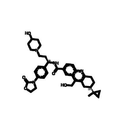 CC1([C@H]2CCc3nc4ccc(C(=O)N[C@H](CCN5CCC(O)CC5)c5ccc(N6CCOC6=O)cc5)cc4c(CO)c3C2)CC1